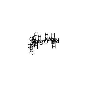 O=C(CCCC(=O)Nc1ccc(C2=NNC(c3ccccn3)=NN2)nc1)NCCNC(=O)OC(CNC(=O)OCC1C2CC/C=C/CCC21)CNC(=O)OCC1C2CC/C=C/CCC21